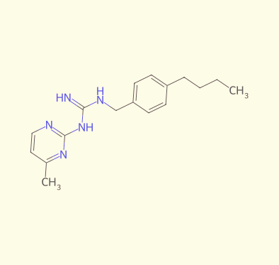 CCCCc1ccc(CNC(=N)Nc2nccc(C)n2)cc1